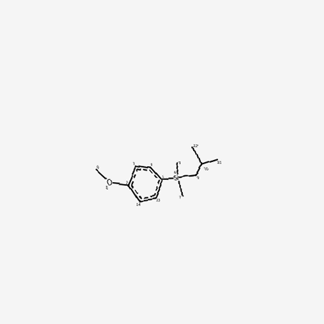 COc1ccc([Si](C)(C)CC(C)C)cc1